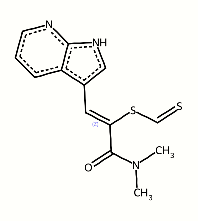 CN(C)C(=O)/C(=C/c1c[nH]c2ncccc12)SC=S